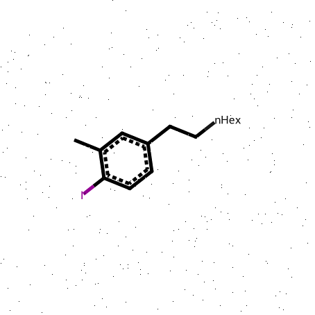 CCCCCCCCc1ccc(I)c(C)c1